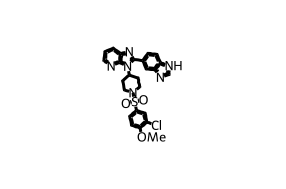 COc1ccc(S(=O)(=O)N2CCC(n3c(-c4ccc5[nH]cnc5c4)nc4cccnc43)CC2)cc1Cl